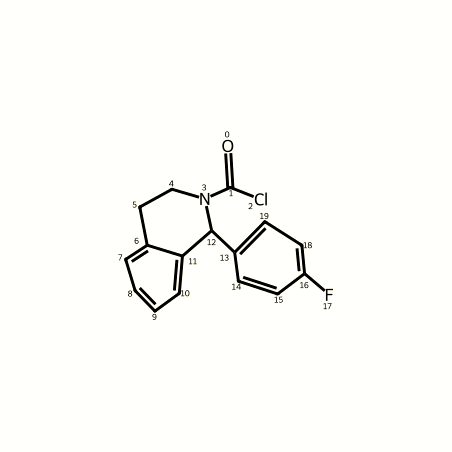 O=C(Cl)N1CCc2ccccc2C1c1ccc(F)cc1